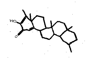 CC1=C(O)C(=O)C=C2C3CCC4C5CC(C)CCC5(C)CCC4(C)C3CCC21C